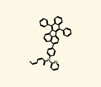 C=C(/C=C\C=C/C)N(c1ccc(-c2ccc3c4c(cccc24)-c2c-3c(-c3ccccc3)c3ccccc3c2-c2ccccc2)cc1)c1ccccn1